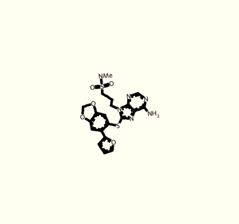 CNS(=O)(=O)CCCn1c(Sc2cc3c(cc2-c2ccco2)OCO3)nc2c(N)ncnc21